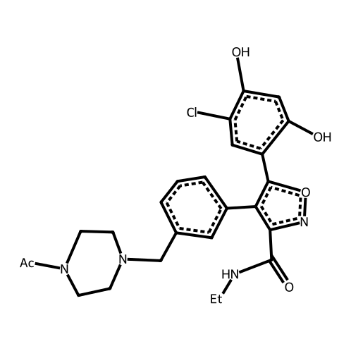 CCNC(=O)c1noc(-c2cc(Cl)c(O)cc2O)c1-c1cccc(CN2CCN(C(C)=O)CC2)c1